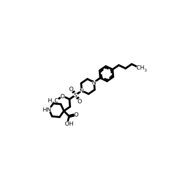 CCCCc1ccc(N2CCN(S(=O)(=O)C(CC3(C(=O)O)CCNCC3)OC)CC2)cc1